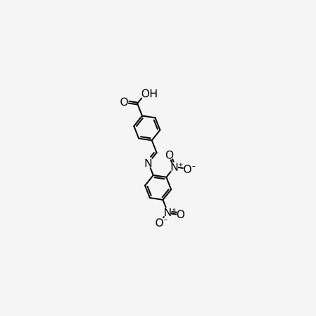 O=C(O)c1ccc(/C=N/c2ccc([N+](=O)[O-])cc2[N+](=O)[O-])cc1